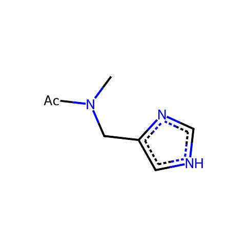 CC(=O)N(C)Cc1c[nH]cn1